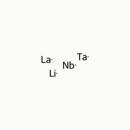 [La].[Li].[Nb].[Ta]